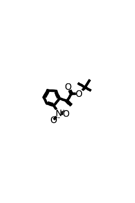 C=C(C(=O)OC(C)(C)C)c1ccccc1[N+](=O)[O-]